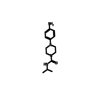 CC(C)NC(=O)N1CCN(c2ccc(N)cc2)CC1